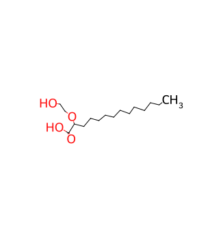 CCCCCCCCCCCCC(OCCO)C(=O)O